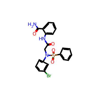 NC(=O)c1ccccc1NC(=O)CN(c1cccc(Br)c1)S(=O)(=O)c1ccccc1